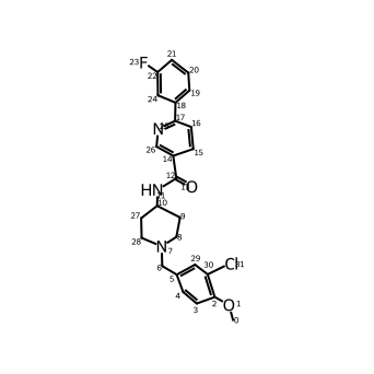 COc1ccc(CN2CCC(NC(=O)c3ccc(-c4cccc(F)c4)nc3)CC2)cc1Cl